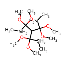 COC(OC)([SiH2]C)C(C(OC)(OC)[SiH2]C)C(OC)(OC)[SiH2]C